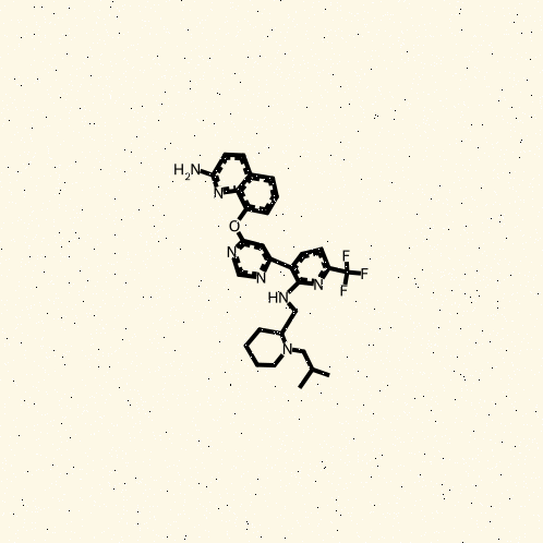 CC(C)CN1CCCCC1CNc1nc(C(F)(F)F)ccc1-c1cc(Oc2cccc3ccc(N)nc23)ncn1